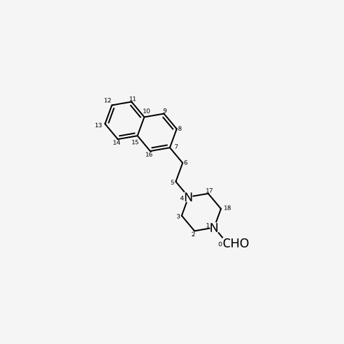 O=CN1CCN(CCc2ccc3ccccc3c2)CC1